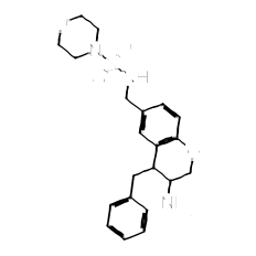 NC1COc2ccc(CNS(=O)(=O)N3CCOCC3)cc2C1Cc1ccccc1